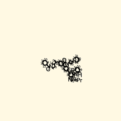 C=C(C1CCN(C(=O)C2CCCCC2)C1)N1CCC2(CC1)C(=O)N(C1CC(N3CCCCC3)C1)c1cc(-c3cc4ncn(C(C)C)c4c(Nc4ccccc4F)n3)ccc12